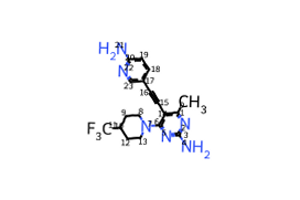 Cc1nc(N)nc(N2CCC(C(F)(F)F)CC2)c1C#Cc1ccc(N)nc1